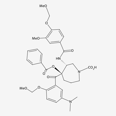 COCOc1ccc(C(=O)N[C@@H]2CN(C(=O)O)CCC[C@]2(OC(=O)c2ccccc2)C(=O)c2cc(N(C)C)ccc2OCOC)cc1OC